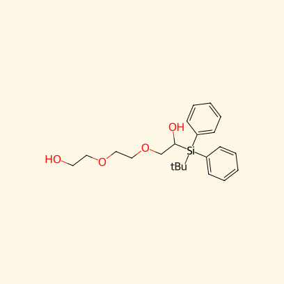 CC(C)(C)[Si](c1ccccc1)(c1ccccc1)C(O)COCCOCCO